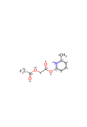 Cc1cccc(OC(=O)COC(=O)C(F)(F)F)n1